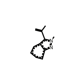 C=C(C)c1c2ccccc2nn1C